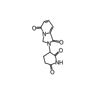 O=C1CCC(N2Cn3c(cccc3=O)C2=O)C(=O)N1